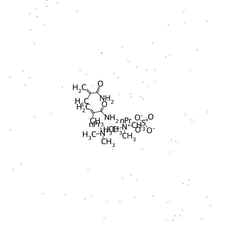 C=C(C)C(N)=O.C=C(C)C(N)=O.CCC[N+](C)(C)C.CCC[N+](C)(C)C.O=S(=O)([O-])[O-]